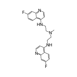 CN(CCNc1ccnc2cc(F)ccc12)CCNc1ccnc2cc(F)ccc12